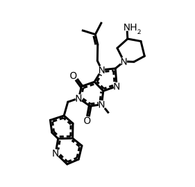 CC(C)=CCn1c(N2CCCC(N)C2)nc2c1c(=O)n(Cc1ccc3ncccc3c1)c(=O)n2C